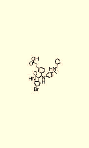 CC(NCc1ccccc1)c1ccc(NC(=C2C(=O)Nc3cc(Br)ccc32)c2cccc(CCC(=O)O)c2)cc1